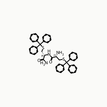 NC(=O)[C@H](CSC(c1ccccc1)(c1ccccc1)c1ccccc1)NC(=O)[C@H](N)CSC(c1ccccc1)(c1ccccc1)c1ccccc1